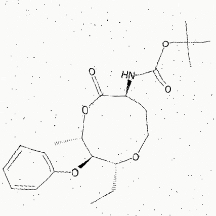 CC[C@H]1OCC[C@H](NC(=O)OC(C)(C)C)C(=O)O[C@@H](C)[C@@H]1Oc1ccccc1